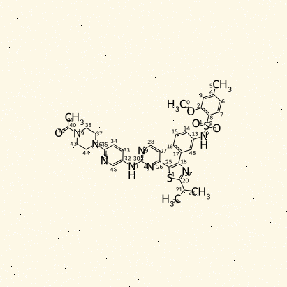 COc1cc(C)ccc1S(=O)(=O)Nc1cccc(-c2nc(C(C)C)sc2-c2ccnc(Nc3ccc(N4CCN(C(C)=O)CC4)nc3)n2)c1